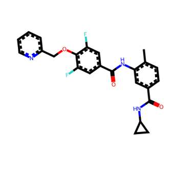 Cc1ccc(C(=O)NC2CC2)cc1NC(=O)c1cc(F)c(OCc2ccccn2)c(F)c1